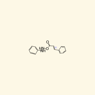 O=C(/C=C/c1ccccc1)ONNc1ccccc1